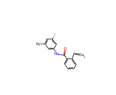 C=Cc1ccccc1C(=O)Nc1cc(F)cc(C#N)c1